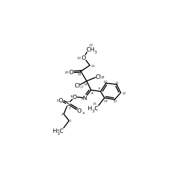 CCCS(=O)(=O)ON=C(c1ccccc1C)C(Cl)(Cl)C(=O)COC